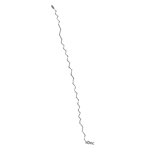 C#CCCCCCCCCCCCCCCCCCCCCCCCCCCCCCCCCCCCCCCCCCCCCCCCC